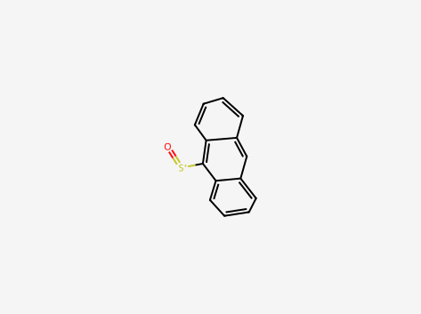 O=[S+]c1c2ccccc2cc2ccccc12